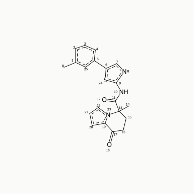 Cc1cccc(-c2cnc(NC(=O)C3(C)CCC(=O)c4cccn43)s2)c1